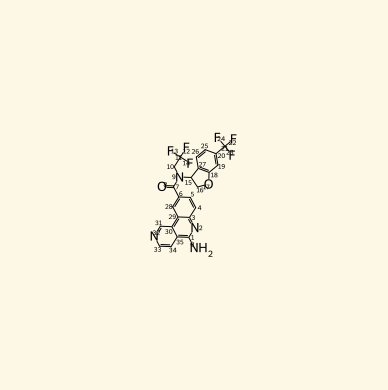 Nc1nc2ccc(C(=O)N(CC(F)(F)F)C3COc4cc(C(F)(F)F)ccc43)cc2c2cnccc12